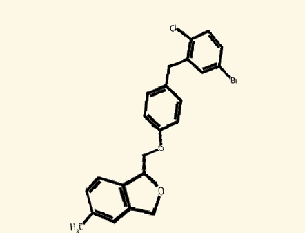 Cc1ccc2c(c1)COC2COc1ccc(Cc2cc(Br)ccc2Cl)cc1